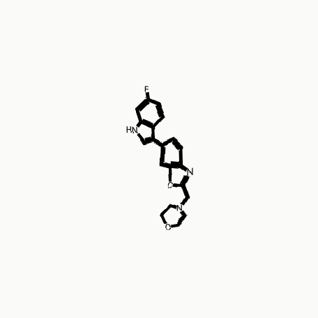 Fc1ccc2c(-c3ccc4nc(CN5CCOCC5)oc4c3)c[nH]c2c1